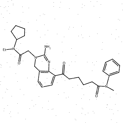 CCN(C(=O)CN1Cc2cccc(C(=O)CCCCC(=O)N(C)c3ccccc3)c2N=C1N)C1CCCC1